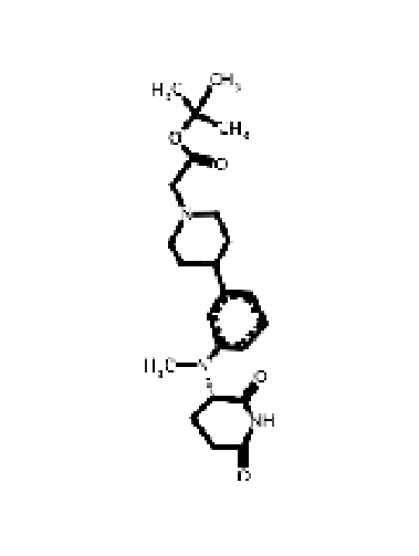 CN(c1cccc(C2CCN(CC(=O)OC(C)(C)C)CC2)c1)[C@H]1CCC(=O)NC1=O